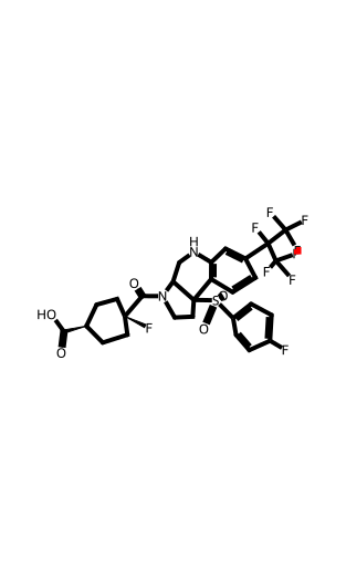 O=C(O)[C@H]1CC[C@](F)(C(=O)N2CCC3(S(=O)(=O)c4ccc(F)cc4)c4ccc(C(F)(C(F)(F)F)C(F)(F)F)cc4NCC23)CC1